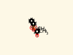 CC1(C)CC(=O)C=C(OS(=O)(=O)c2ccc3ccccc3c2)C1